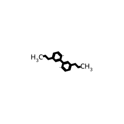 CCCc1cc[c]c(-c2[c]ccc(CCC)c2)c1